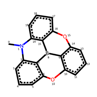 CN1c2cccc3c2B2c4c(cccc4Oc4cccc1c42)O3